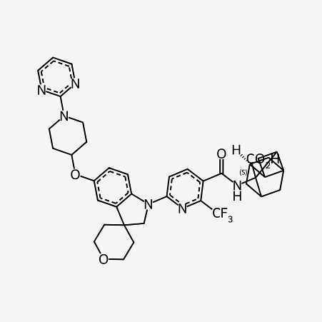 O=C(NC1(C(=O)O)C2C[C@H]3CC4(C2)C3CC41)c1ccc(N2CC3(CCOCC3)c3cc(OC4CCN(c5ncccn5)CC4)ccc32)nc1C(F)(F)F